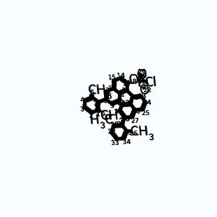 Cc1cccc(C)c1-c1ccc2c3c(ccc2c1)OP(=O)(Cl)Oc1ccc2cc(-c4c(C)cccc4C)ccc2c1-3